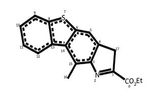 CCOC(=O)C1=Nc2c(cc3sc4ccccc4c3c2C)C1